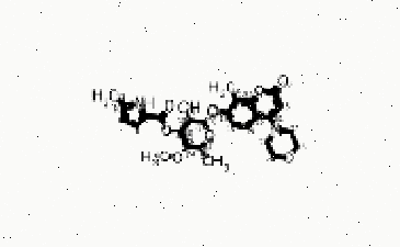 CO[C@@H]1[C@@H](OC(=O)c2ccc(C)[nH]2)[C@@H](O)[C@H](Oc2ccc3c(N4CCOCC4)cc(=O)oc3c2C)O[C@H]1C